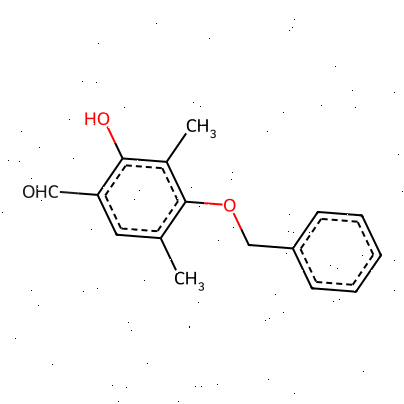 Cc1cc(C=O)c(O)c(C)c1OCc1ccccc1